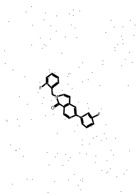 O=c1c2ccc(-c3cccc(F)c3)cc2ccn1Cc1ccccc1F